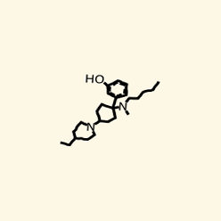 CCCCCN(C)C1(c2cccc(O)c2)CCC(N2CCC(CC)CC2)CC1